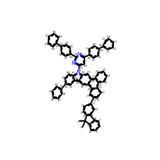 CC1(C)c2ccccc2-c2cc(-c3ccc4c5ccccc5c5cc6c(cc5c4c3)c3cc(-c4ccccc4)ccc3n6-c3cc(-c4ccc(-c5ccccc5)cc4)nc(-c4ccc(-c5ccccc5)cc4)n3)ccc21